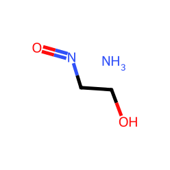 N.O=NCCO